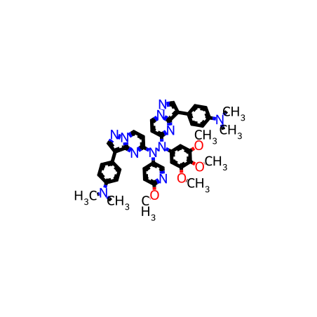 COc1ccc(N(c2ccn3ncc(-c4ccc(N(C)C)cc4)c3n2)N(c2cc(OC)c(OC)c(OC)c2)c2ccn3ncc(-c4ccc(N(C)C)cc4)c3n2)cn1